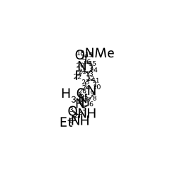 CCNC(=O)Nc1cc(CN2CCC(c3ccc(C(=O)NC)nc3F)CC2)n(C)n1